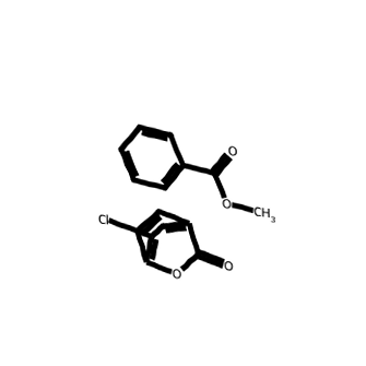 COC(=O)c1ccccc1.O=c1oc2ccc1cc2Cl